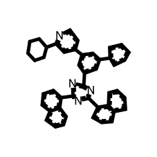 c1ccc(-c2cc(-c3ccnc(C4CCCCC4)c3)cc(-c3nc(-c4cccc5ccccc45)nc(-c4cccc5ccccc45)n3)c2)cc1